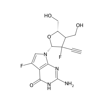 C#CC1(F)C(CO)[C@@H](CO)O[C@H]1n1cc(F)c2c(=O)[nH]c(N)nc21